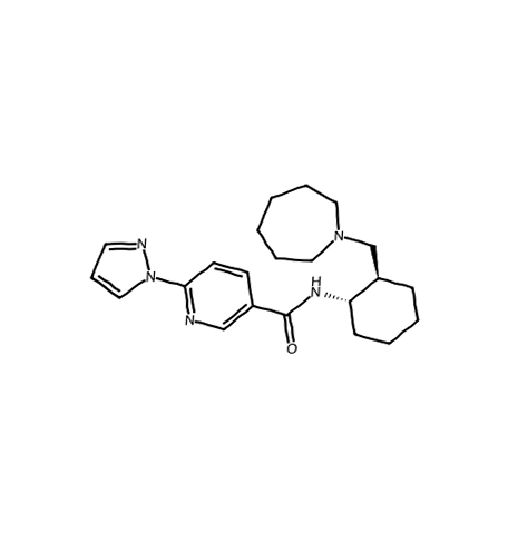 O=C(N[C@H]1CCCC[C@@H]1CN1CCCCCC1)c1ccc(-n2cccn2)nc1